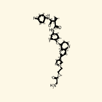 NCC(=O)OCCn1cc(-c2cc3nccc(Oc4ccc(NC(=O)C5(C(=O)Nc6ccc(F)cc6)CC5)cc4F)c3s2)cn1